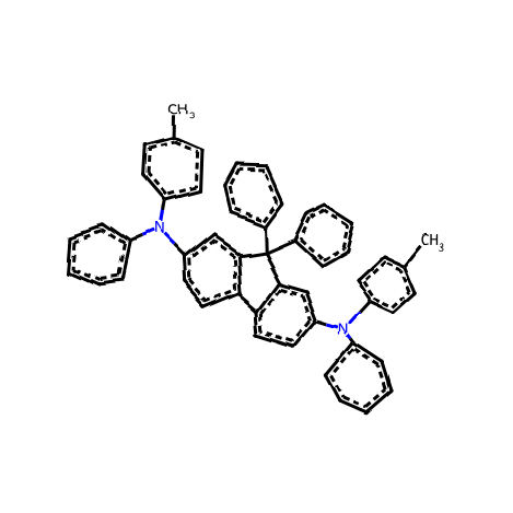 Cc1ccc(N(c2ccccc2)c2ccc3c(c2)C(c2ccccc2)(c2ccccc2)c2cc(N(c4ccccc4)c4ccc(C)cc4)ccc2-3)cc1